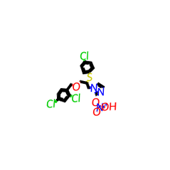 Clc1ccc(SC(COCc2ccc(Cl)cc2Cl)Cn2ccnc2)cc1.O=[N+]([O-])O